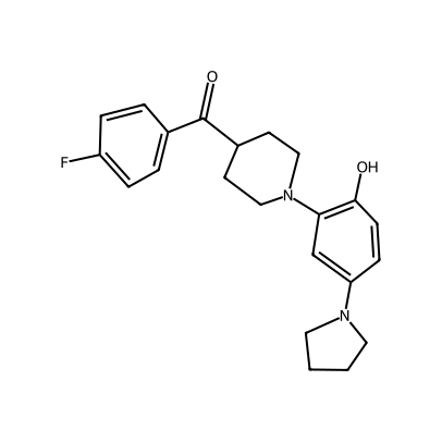 O=C(c1ccc(F)cc1)C1CCN(c2cc(N3CCCC3)ccc2O)CC1